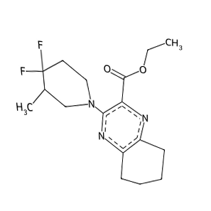 CCOC(=O)c1nc2c(nc1N1CCC(F)(F)C(C)C1)CCCC2